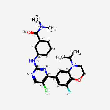 CC(C)N1CCOc2c(F)cc(-c3nc(NC4CCCC(C(=O)N(C)C)C4)ncc3Cl)cc21